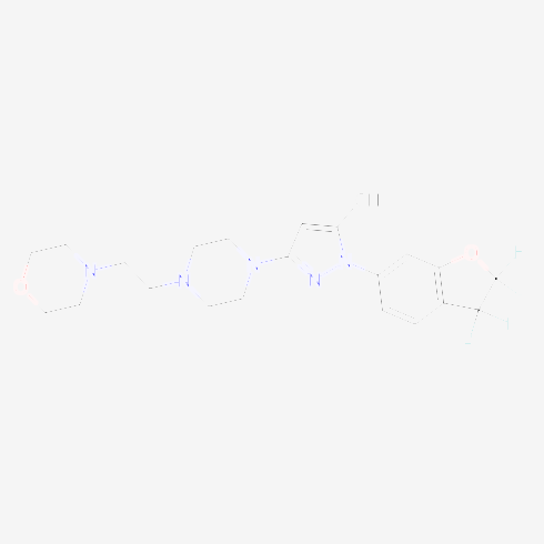 Cc1cc(N2CCN(CCN3CCOCC3)CC2)nn1-c1ccc2c(c1)OC(F)(F)C2(F)F